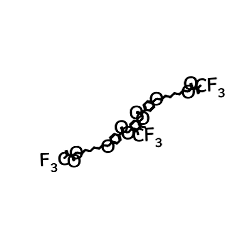 C=C(C(=O)OCCCCCCOc1ccc(C(=O)Oc2ccc(OC(=O)c3ccc(OCCCCCCOC(=O)C(=C)C(F)(F)F)cc3)c(C(F)(F)F)c2C)cc1)C(F)(F)F